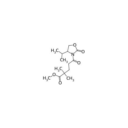 COC(=O)C(C)(C)CCC(=O)N1C(=O)OCC1C(C)C